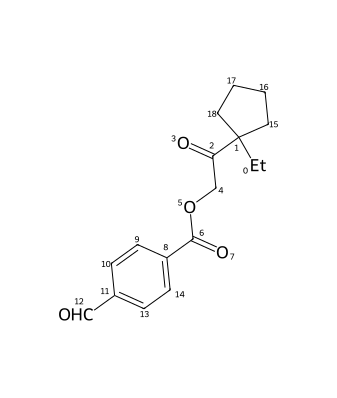 CCC1(C(=O)COC(=O)c2ccc(C=O)cc2)CCCC1